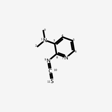 CN(C)c1cccnc1N=C=S